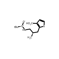 C[C@@H](CN[S@+]([O-])C(C)(C)C)Cc1sccc1C(=O)O